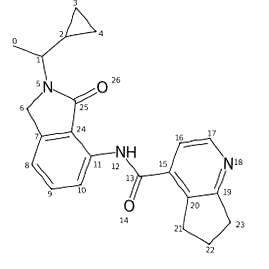 CC(C1CC1)N1Cc2cccc(NC(=O)c3ccnc4c3CCC4)c2C1=O